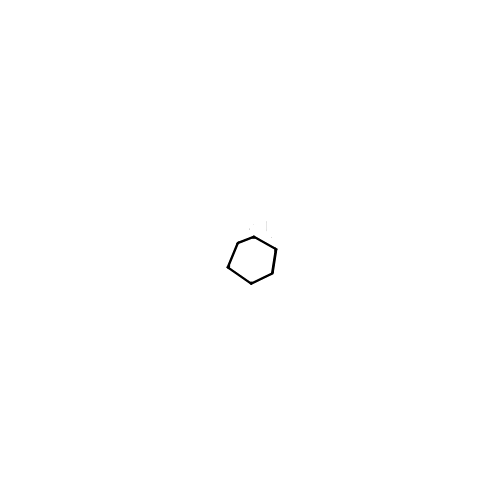 C1CCCCC1.[SrH2]